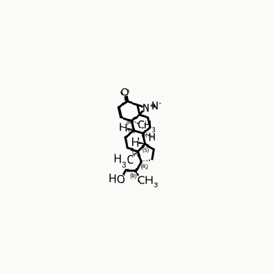 C[C@@H](CO)[C@H]1CC[C@H]2[C@@H]3CCC45C(C(=O)CC[C@]4(C)[C@H]3CC[C@]12C)[N+]5=[N-]